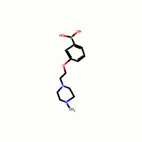 CN1CCN(CCOc2cccc(B(O)O)c2)CC1